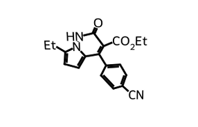 CCOC(=O)c1c(-c2ccc(C#N)cc2)c2ccc(CC)n2[nH]c1=O